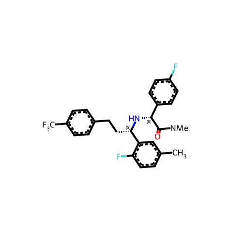 CNC(=O)[C@H](N[C@@H](CCc1ccc(C(F)(F)F)cc1)c1cc(C)ccc1F)c1ccc(F)cc1